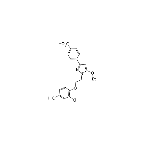 CCOc1cc(-c2ccc(C(=O)O)cc2)nn1CCOc1ccc(C)cc1Cl